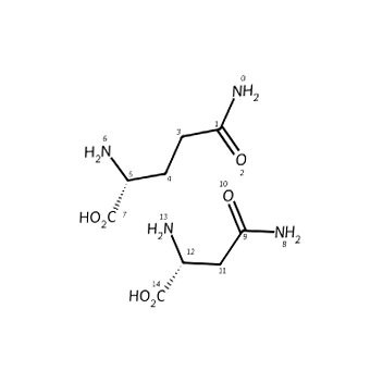 NC(=O)CC[C@@H](N)C(=O)O.NC(=O)C[C@@H](N)C(=O)O